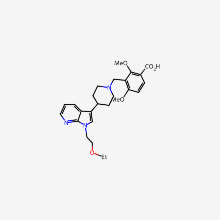 CCOCCn1cc(C2CCN(Cc3c(OC)ccc(C(=O)O)c3OC)CC2)c2cccnc21